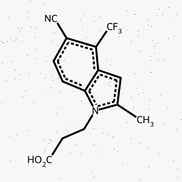 Cc1cc2c(C(F)(F)F)c(C#N)ccc2n1CCC(=O)O